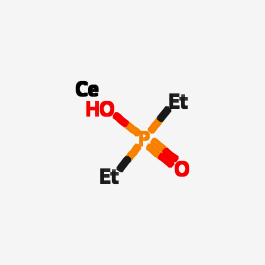 CCP(=O)(O)CC.[Ce]